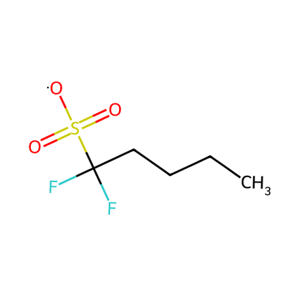 CCCCC(F)(F)S([O])(=O)=O